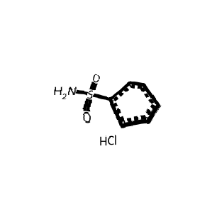 Cl.NS(=O)(=O)c1ccccc1